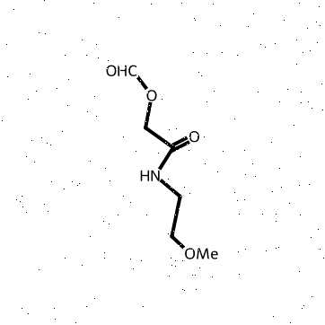 COCCNC(=O)COC=O